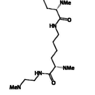 CNCCNC(=O)[C@H](CCCCNC(=O)[C@H](CCNC)NC)NC